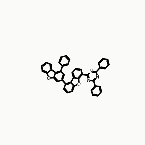 c1ccc(-c2nc(-c3ccccc3)nc(-c3cccc4c3oc3cccc(-c5cc(-c6ccccc6)c6c(c5)oc5ccccc56)c34)n2)cc1